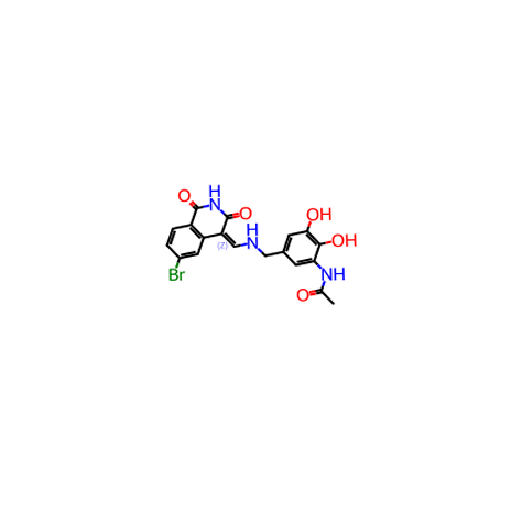 CC(=O)Nc1cc(CN/C=C2\C(=O)NC(=O)c3ccc(Br)cc32)cc(O)c1O